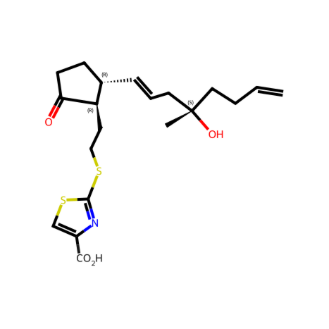 C=CCC[C@](C)(O)CC=C[C@H]1CCC(=O)[C@@H]1CCSc1nc(C(=O)O)cs1